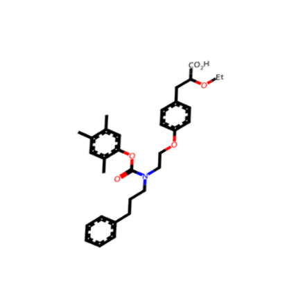 CCOC(Cc1ccc(OCCN(CCCc2ccccc2)C(=O)Oc2cc(C)c(C)cc2C)cc1)C(=O)O